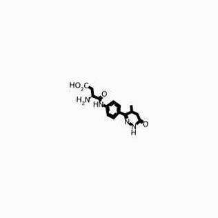 CC1CC(=O)NN=C1c1ccc(NC(=O)[C@H](N)CC(=O)O)cc1